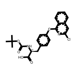 CC(C)(C)OC(=O)N[C@@H](Cc1ccc(Oc2nc(Cl)cc3ccccc23)cc1)C(=O)O